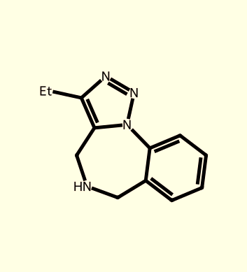 CCc1nnn2c1CNCc1ccccc1-2